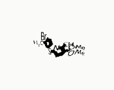 COC(OC)c1ccc(Sc2ccc(Br)c(C)c2)nc1C